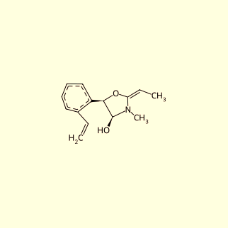 C=Cc1ccccc1[C@H]1OC(=CC)N(C)[C@H]1O